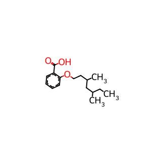 CCC(C)CC(C)CCOc1ccccc1C(=O)O